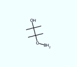 BOC(C)(C)C(C)(C)O